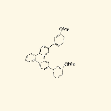 COc1cccc(-c2ccc3c4ccccc4c4ccc(-c5cccc(OC)c5)cc4c3c2)c1